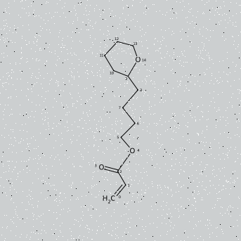 C=CC(=O)OCCCCC1CCCCO1